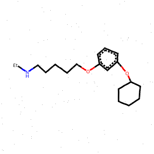 CCNCCCCCOc1cccc(OC2CCCCC2)c1